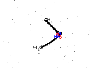 CCCCCCCCC=CCCCCCCCCNC(=O)C1CCCN1C(=O)CCCCCCCC=CCCCCCCCC